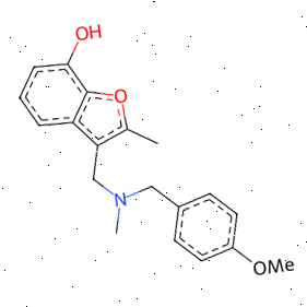 COc1ccc(CN(C)Cc2c(C)oc3c(O)cccc23)cc1